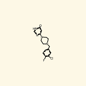 O=c1cc(N2CCN(Cc3ccc(F)c(Cl)c3)CC2)nc[nH]1